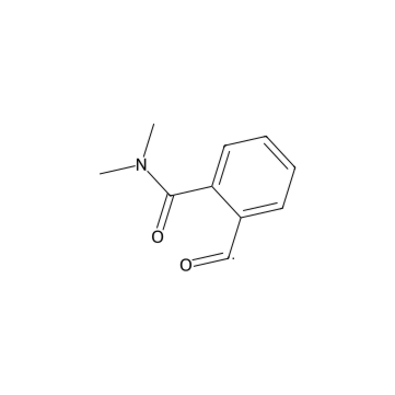 CN(C)C(=O)c1ccccc1[C]=O